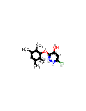 Cc1cc(C)c([N+](=O)[O-])c(Oc2nnc(Cl)cc2O)c1C